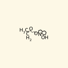 C=C(C)C(=O)CCOc1ccc2cccc(O)c2n1